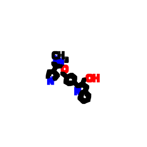 Cn1cc(-c2ccncc2)c(OCc2ccc(-c3nc4ccccc4cc3CO)cc2)n1